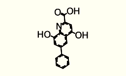 O=C(O)c1cc(O)c2cc(-c3ccccc3)cc(O)c2n1